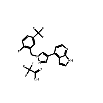 Fc1ccc(C(F)(F)F)cc1Cn1cc(-c2ccnc3[nH]ccc23)cn1.O=C(O)C(F)(F)F